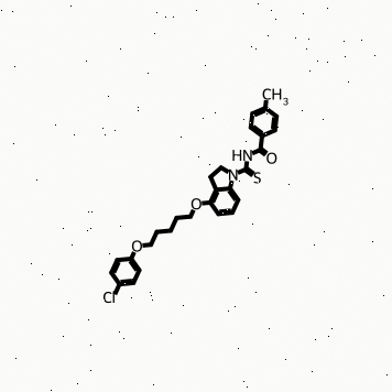 Cc1ccc(C(=O)NC(=S)N2CCc3c(OCCCCCOc4ccc(Cl)cc4)cccc32)cc1